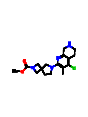 Cc1c(N2CCC3(CN(C(=O)OC(C)(C)C)C3)C2)nc2c(c1Cl)CCNC2